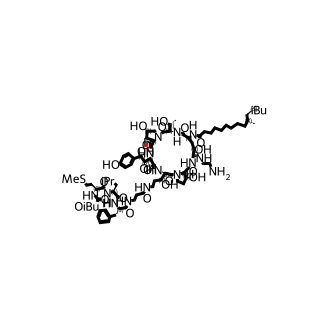 CC[C@H](C)C[C@H](C)CCCCCCCCC(=O)N[C@H]1C[C@@H](O)[C@@H](NCCN)NC(=O)[C@@H]2[C@@H](O)CCN2C(=O)[C@H]([C@H](O)CCNC(=O)CCNC(=O)[C@H](Cc2ccccc2)NC(=O)[C@H](CC(C)C)NC(=O)[C@H](CCSC)NC(=O)OCC(C)C)NC(=O)[C@H]([C@H](O)[C@@H](O)c2ccc(O)cc2)NC(=O)[C@@H]2C[C@@H](O)CN2C(=O)[C@H]([C@@H](C)O)NC1=O